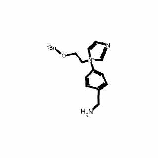 CC(C)(C)OCC[N+]1(c2ccc(CN)cc2)C=CN=C1